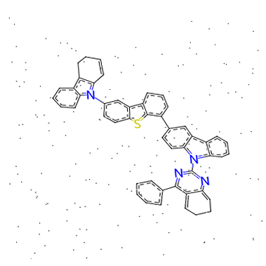 C1=Cc2c(c3ccccc3n2-c2ccc3sc4c(-c5ccc6c(c5)c5ccccc5n6-c5nc(-c6ccccc6)c6c(n5)=CCCC=6)cccc4c3c2)CC1